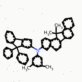 Cc1cc(C)cc(N(c2ccc3c(c2)C(c2ccccc2)(c2ccccc2)c2ccccc2-3)c2ccc3c4c(ccc3c2)-c2ccc3ccccc3c2C4(C)C)c1